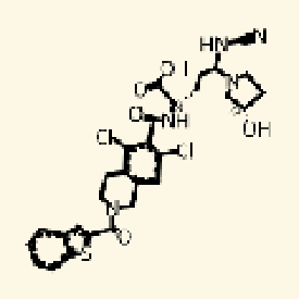 N#CNC(CC[C@H](NC(=O)c1c(Cl)cc2c(c1Cl)CCN(C(=O)c1cc3ccccc3s1)C2)C(=O)O)N1CC[C@H](O)C1